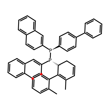 CC1=C(c2ccccc2C)[C]([P@](c2ccc3ccccc3c2)[P@](c2ccc(-c3ccccc3)cc2)c2ccc3ccccc3c2)CC=C1